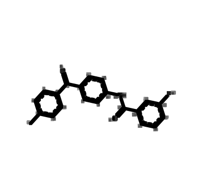 Cc1ccc(C(=O)c2ccc(NC(=O)c3cccc(F)c3)cc2)cc1